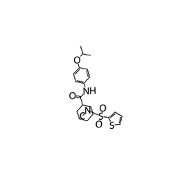 CC(C)Oc1ccc(NC(=O)C2CC3CCC2N(S(=O)(=O)c2cccs2)C3)cc1